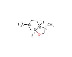 C[C@H]1CC[C@@H]2[C@H](C)CO[C@H]2C1